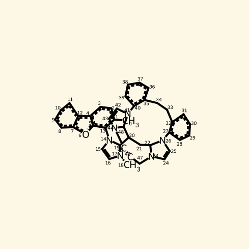 Cc1ccc2c(oc3ccccc32)c1N1C=CN(C)C1C1CC2N3C=CN2c2ccccc2CCc2ccccc2N2C=CN(CCC3)C12